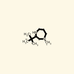 CN1CCCNC(C(C)(C)C)C1